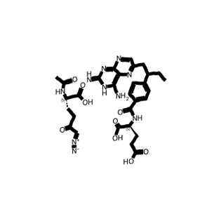 CC(=O)N[C@@H](CCC(=O)C=[N+]=[N-])C(=O)O.CCC(Cc1cnc2nc(=N)[nH]c(N)c2n1)c1ccc(C(=O)N[C@@H](CCC(=O)O)C(=O)O)cc1